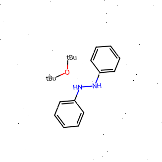 CC(C)(C)OC(C)(C)C.c1ccc(NNc2ccccc2)cc1